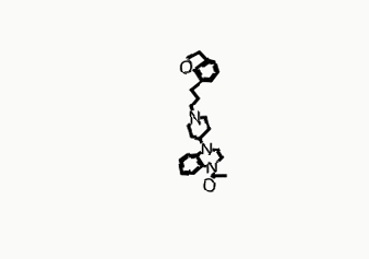 CC(=O)N1CCN(C2CCN(CCCc3cccc4c3OCC4)CC2)c2ccccc21